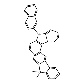 C[Si]1(C)c2ccccc2-c2cc3c(ccc4c3c3ccccc3n4-c3ccc4ccccc4c3)cc21